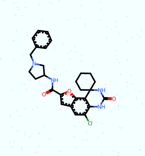 O=C1Nc2c(Cl)cc3cc(C(=O)NC4CCN(Cc5ccccc5)C4)oc3c2C2(CCCCC2)N1